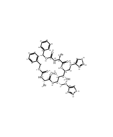 CC(C)[C@H](NC(=O)OCc1ccccc1)C(=O)O[C@@H](COc1csnn1)[C@H](O)[C@@H](O)[C@H](COc1csnn1)OC(=O)[C@@H](NC(=O)OCc1ccccc1)C(C)C